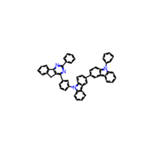 c1ccc(-c2nc(-c3cccc(-n4c5ccccc5c5cc(-c6ccc7c(c6)c6ccccc6n7-c6ccccc6)ccc54)c3)c3c(n2)-c2ccccc2C3)cc1